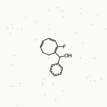 OC(/C1=C(F)/C=C\C=C/CC1)c1ccccc1